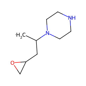 [CH2]C(CC1CO1)N1CCNCC1